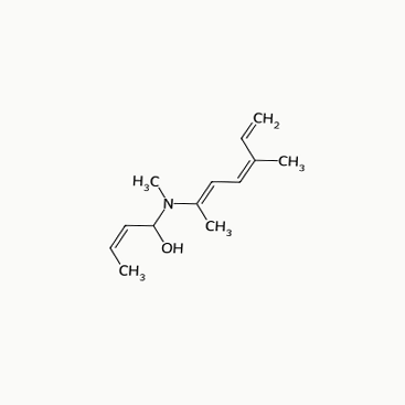 C=C/C(C)=C\C=C(/C)N(C)C(O)/C=C\C